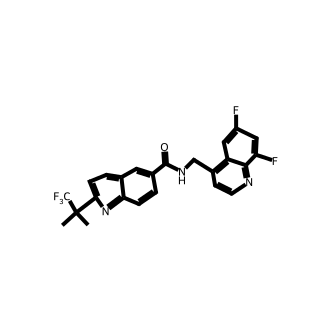 CC(C)(c1ccc2cc(C(=O)NCc3ccnc4c(F)cc(F)cc34)ccc2n1)C(F)(F)F